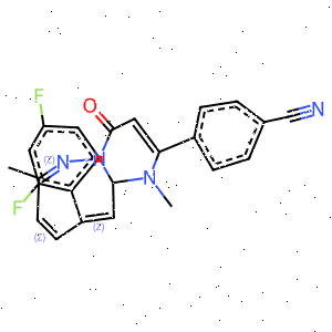 CC1=N/N2C(=O)C=C(c3ccc(C#N)cc3)N(C)C2/C=C(c2ccc(F)cc2F)/C=C\1